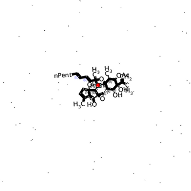 C=C(C)[C@@]1(O)[C@H](O)[C@H]([C@@H]2O[C@]2(CO)[C@@H](O)[C@@]2(O)CC=C(C)C2=O)[C@](C)(OC(C)(C)/C=C/C=C/CCCCC)[C@H](C)[C@H]1OC(C)=O